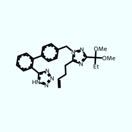 C=CCCc1nc(C(CC)(OC)OC)nn1Cc1ccc(-c2ccccc2-c2nnn[nH]2)cc1